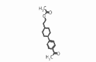 CC(=O)OCCC1CCC(c2ccc(C(C)=O)cc2)CC1